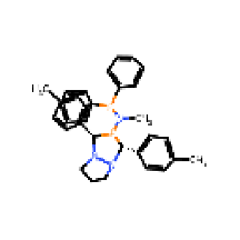 Cc1ccc([C@@H]2N3CCCN3[C@@H](c3ccc(C)cc3)P2N(C)P(c2ccccc2)c2ccccc2)cc1